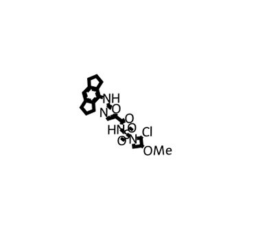 COC1CN(S(=O)(=O)NC(=O)c2cnc(Nc3c4c(cc5c3CCC5)CCC4)o2)C1Cl